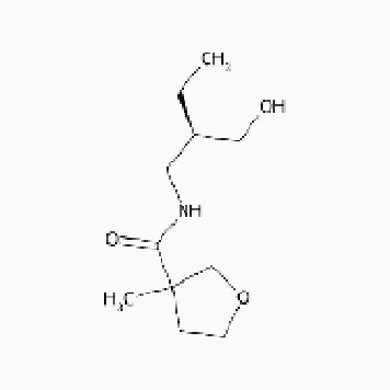 CC[C@@H](CO)CNC(=O)C1(C)CCOC1